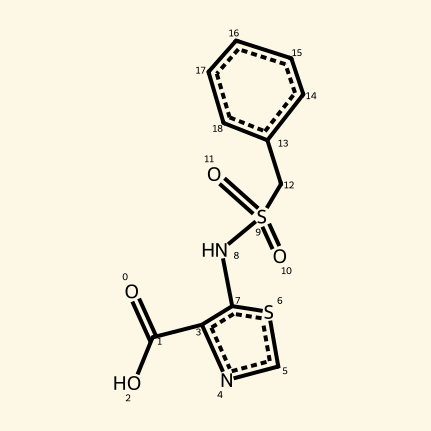 O=C(O)c1ncsc1NS(=O)(=O)Cc1ccccc1